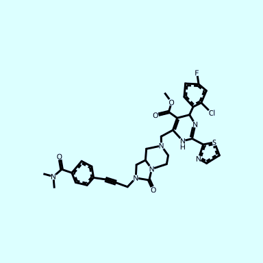 COC(=O)C1=C(CN2CCN3C(=O)N(CC#Cc4ccc(C(=O)N(C)C)cc4)CC3C2)NC(c2nccs2)=NC1c1ccc(F)cc1Cl